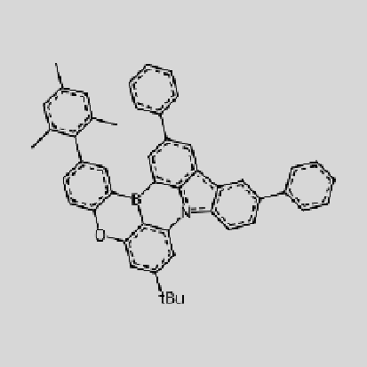 Cc1cc(C)c(-c2ccc3c(c2)B2c4c(cc(C(C)(C)C)cc4-n4c5ccc(-c6ccccc6)cc5c5cc(-c6ccccc6)cc2c54)O3)c(C)c1